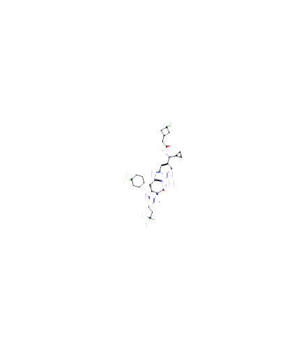 NC(=O)c1nn(CCC(F)(F)F)nc1[C@H](c1cn2ncc(C(NC(=O)CC3CC(F)(F)C3)C3CC3)cc2n1)C1CCC(F)(F)CC1